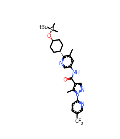 Cc1cc(NC(=O)c2cnn(-c3ccc(C(F)(F)F)cn3)c2C)cnc1[C@H]1CC[C@H](O[Si](C)(C)C(C)(C)C)CC1